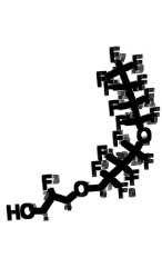 OCC(F)COCC(F)(F)C(F)(F)C(F)(F)OC(F)(F)C(F)(F)C(F)(F)C(F)(F)F